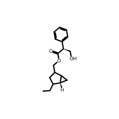 CCC1CC(COC(=O)[C@H](CO)c2ccccc2)C2C[C@H]12